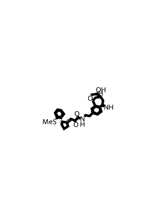 CSc1ccccc1[C@H]1CCC/C1=C\C(=O)C(=O)NCCc1ccc2c(c1)C1C[C@H](CC2=N)[C@H](O)CO1